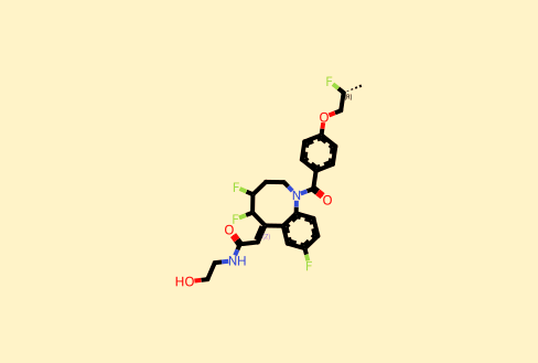 C[C@@H](F)COc1ccc(C(=O)N2CCC(F)C(F)/C(=C\C(=O)NCCO)c3cc(F)ccc32)cc1